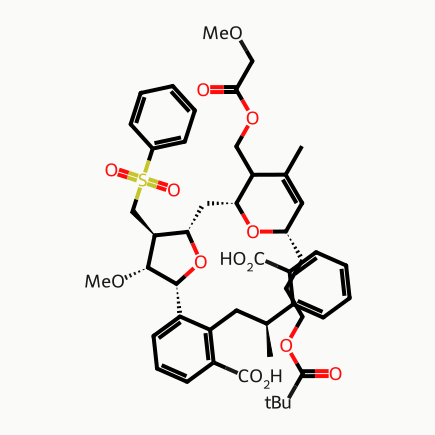 COCC(=O)OCC1C(C)=C[C@H](CCCOC(=O)C(C)(C)C)O[C@@H]1C[C@@H]1O[C@H](c2cccc(C(=O)O)c2C[C@H](C)c2ccccc2C(=O)O)[C@H](OC)[C@H]1CS(=O)(=O)c1ccccc1